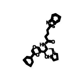 O=C(CCCc1nc2ccccc2s1)N[C@H](CN1CCCC1)[C@@H](O)C1=COC=C(C2=CC=CCC2)O1